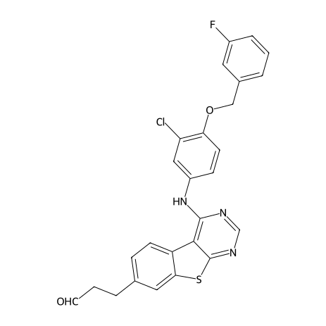 O=CCCc1ccc2c(c1)sc1ncnc(Nc3ccc(OCc4cccc(F)c4)c(Cl)c3)c12